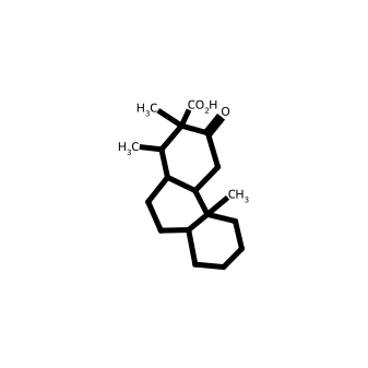 CC1C2CCC3CCCCC3(C)C2CC(=O)C1(C)C(=O)O